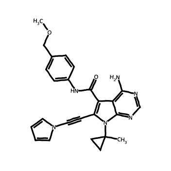 COCc1ccc(NC(=O)c2c(C#Cn3cccc3)n(C3(C)CC3)c3ncnc(N)c23)cc1